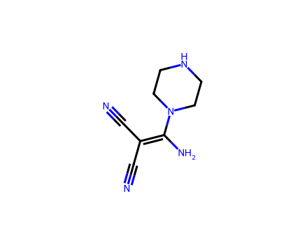 N#CC(C#N)=C(N)N1CCNCC1